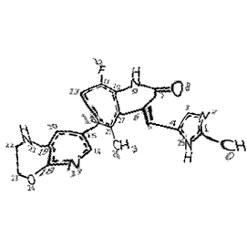 Cc1ncc(C=C2C(=O)Nc3c(F)cc(-c4cnc5c(c4)NCCO5)c(C)c32)[nH]1